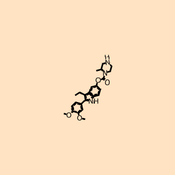 CCc1c(-c2ccc(OC)c(OC)c2)[nH]c2ccc(OC(=O)N3CCNCC3C)cc12